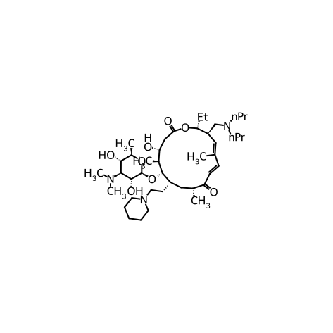 CCCN(CCC)C[C@H]1/C=C(C)/C=C/C(=O)[C@H](C)C[C@H](CCN2CCCCC2)[C@H](O[C@@H]2O[C@H](C)[C@@H](O)[C@H](N(C)C)[C@H]2O)[C@@H](C)[C@H](O)CC(=O)O[C@@H]1CC